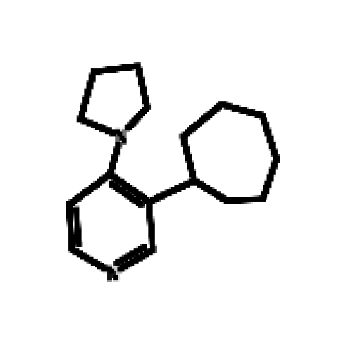 c1cc(N2CCCC2)c(C2CCCCCC2)cn1